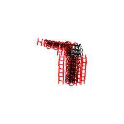 CCCCCCCC(=O)O.CCCCCCCC(=O)O.CCCCCCCC(=O)O.OCC(O)CO.OCC(O)CO.OCC(O)CO.OCC(O)CO.OCC(O)CO.OCC(O)CO.OCC(O)CO.OCC(O)CO.OCC(O)CO.OCC(O)CO